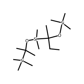 CCC(C)(O[Si](C)(C)C)[Si](C)(C)OC(C)(C)[Si](C)(C)C